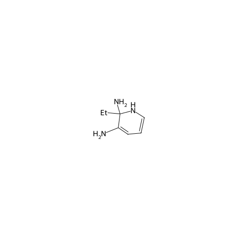 CCC1(N)NC=CC=C1N